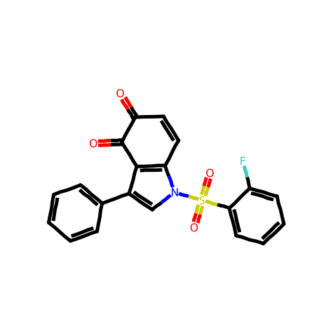 O=C1C=Cc2c(c(-c3ccccc3)cn2S(=O)(=O)c2ccccc2F)C1=O